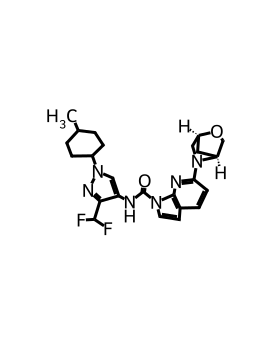 CC1CCC(n2cc(NC(=O)n3ccc4ccc(N5C[C@@H]6C[C@H]5CO6)nc43)c(C(F)F)n2)CC1